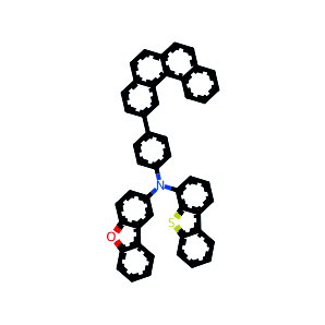 c1ccc2c(c1)ccc1ccc3ccc(-c4ccc(N(c5ccc6oc7ccccc7c6c5)c5cccc6c5sc5ccccc56)cc4)cc3c12